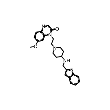 COc1ccc2ncc(=O)n(CCN3CCC(NCc4cc5ccccc5s4)CC3)c2c1